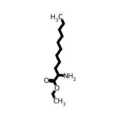 CCCCCCCCCC(N)C(=O)OCC